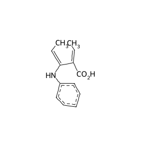 C/C=C(Nc1ccccc1)\C(=C/C)C(=O)O